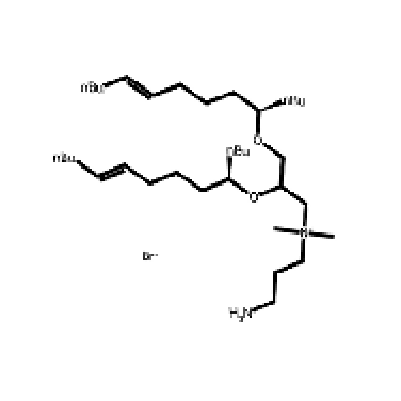 CCCCC=CCCC[C@@H](CCCC)OCC(C[N+](C)(C)CCCN)O[C@H](CCCC)CCCC=CCCCC.[Br-]